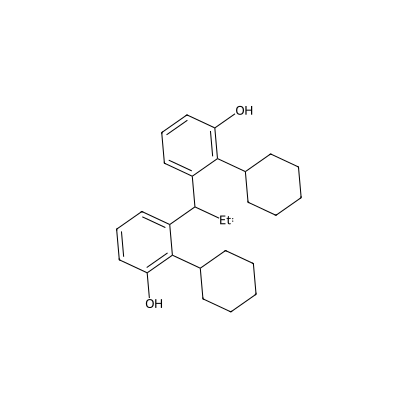 C[C]C(c1cccc(O)c1C1CCCCC1)c1cccc(O)c1C1CCCCC1